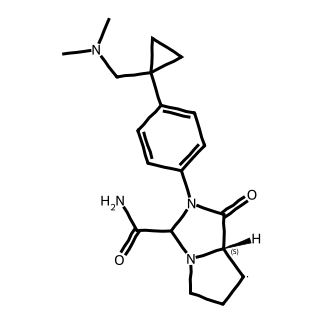 CN(C)CC1(c2ccc(N3C(=O)[C@@H]4[CH]CCN4C3C(N)=O)cc2)CC1